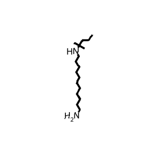 CCCC(C)(C)NCCCCCCCCCCCN